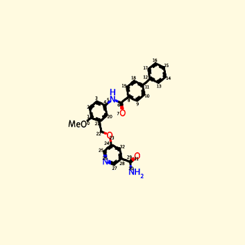 COc1ccc(NC(=O)c2ccc(-c3ccccc3)cc2)cc1COc1cncc(C(N)=O)c1